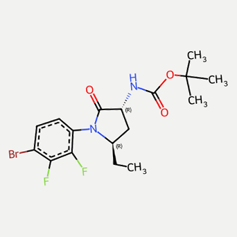 CC[C@@H]1C[C@@H](NC(=O)OC(C)(C)C)C(=O)N1c1ccc(Br)c(F)c1F